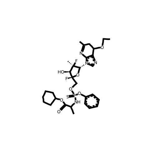 CCOC1CC(C)=Nc2c1ncn2[C@@H]1O[C@](F)(COP(=S)(NC(C)C(=O)OC2CCCCC2)Oc2ccccc2)[C@@H](O)[C@@]1(C)F